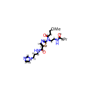 COCCC(=O)N(CCNC(=O)C(C)C)c1ncc(C(=O)NCCCn2ccnc2)s1